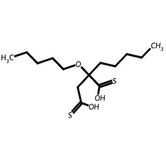 CCCCCOC(CCCCC)(CC(O)=S)C(O)=S